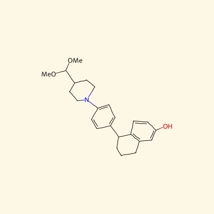 COC(OC)C1CCN(c2ccc(C3CCCc4cc(O)ccc43)cc2)CC1